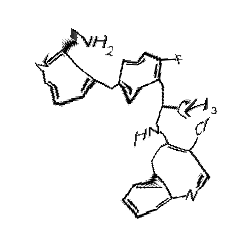 CC(Nc1c(Cl)cnc2ccccc12)c1cc(-c2cccnc2N)ccc1F